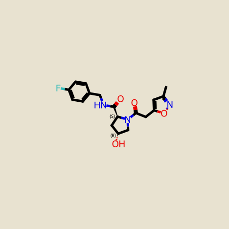 Cc1cc(CC(=O)N2C[C@H](O)C[C@H]2C(=O)NCc2ccc(F)cc2)on1